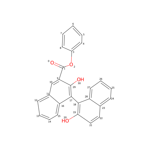 O=C(Oc1ccccc1)c1cc2ccccc2c(-c2c(O)ccc3ccccc23)c1O